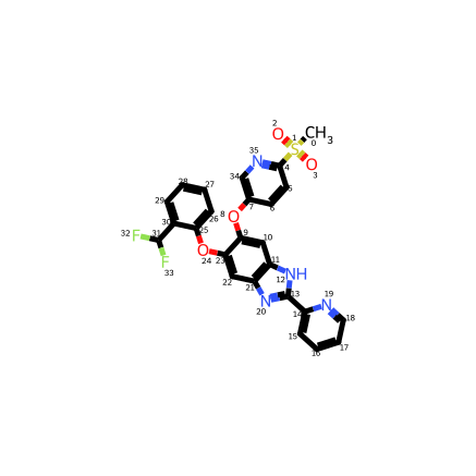 CS(=O)(=O)c1ccc(Oc2cc3[nH]c(-c4ccccn4)nc3cc2Oc2ccccc2C(F)F)cn1